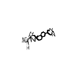 N#CNC1=NC2(CCc3cc(-c4cncnc4)ccc3C2)CN1